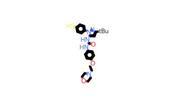 CC(C)(C)c1cc(NC(=O)Nc2ccc(OCCN3CCOCC3)cc2)n(-c2ccc(S)cc2)n1